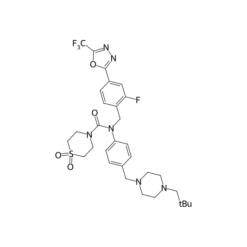 CC(C)(C)CN1CCN(Cc2ccc(N(Cc3ccc(-c4nnc(C(F)(F)F)o4)cc3F)C(=O)N3CCS(=O)(=O)CC3)cc2)CC1